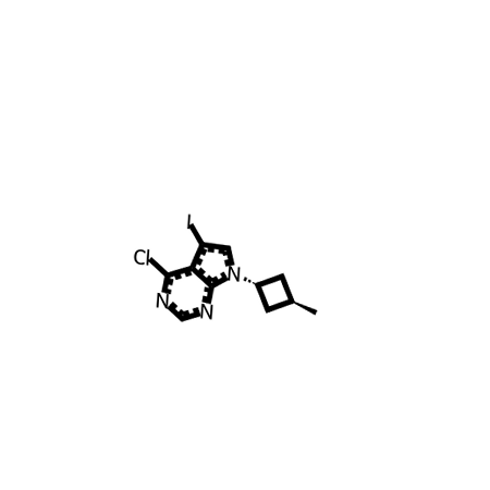 C[C@H]1C[C@H](n2cc(I)c3c(Cl)ncnc32)C1